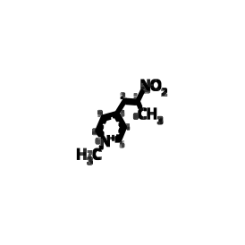 CC(=Cc1cc[n+](C)cc1)[N+](=O)[O-]